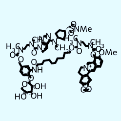 CNS(=O)(=O)C[C@H]1CC[C@H](N(C)c2ncnc3c2ccn3C(=O)N(C)CCN(C)C(=O)OCc2ccc(O[C@@H]3OC[C@@H](O)[C@H](O)[C@H]3O)c(NC(=O)CCCCCCCCCOC(=O)N(C)CCN(C)C(=O)Oc3c(OC)ccc4cc5[n+](cc34)CCc3cc4c(cc3-5)OCO4)c2)CC1